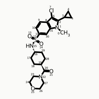 Cn1c(C2CC2)c(Cl)c2ccc(S(=O)(=O)N[C@H]3CC[C@H](C(=O)N4CCOCC4)CC3)cc21